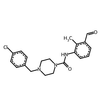 Cc1c(C=O)cccc1NC(=O)N1CCN(Cc2ccc(Cl)cc2)CC1